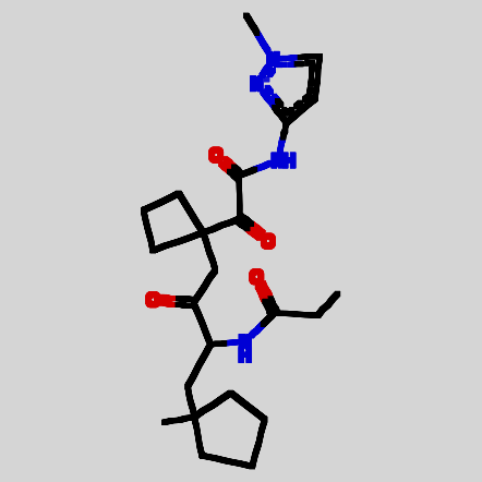 CCC(=O)NC(CC1(C)CCCC1)C(=O)CC1(C(=O)C(=O)Nc2ccn(C)n2)CCC1